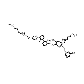 Cc1c(-c2ccc(OCCNCCCC(=O)O)cc2)cccc1-c1cccc2c1CC[C@@H]2Oc1nc(OCc2cncc(C#N)c2)c(CNCCCC(=O)O)cc1Cl